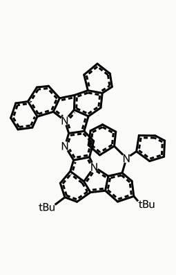 CC(C)(C)c1cc(N(c2ccccc2)c2ccccc2)c2c(c1)c1cc(C(C)(C)C)cc3c4nc5c(cc4n2c13)c1cc2ccccc2c2c3ccc4ccccc4c3n5c12